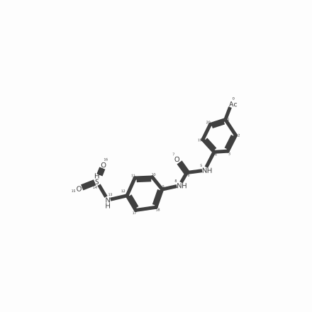 CC(=O)c1ccc(NC(=O)Nc2ccc(N[SH](=O)=O)cc2)cc1